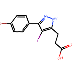 O=C(O)CCc1[nH]nc(-c2ccc(Br)cc2)c1I